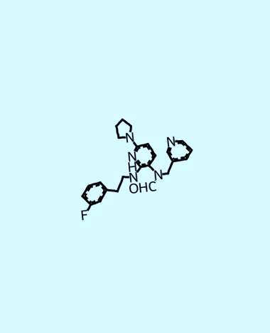 O=CN(Cc1cccnc1)c1ccc(N2CCCC2)nc1NCCc1cccc(F)c1